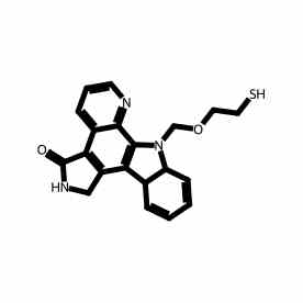 O=C1NCc2c3c(c4ncccc4c21)N(COCCS)C1C=CC=CC31